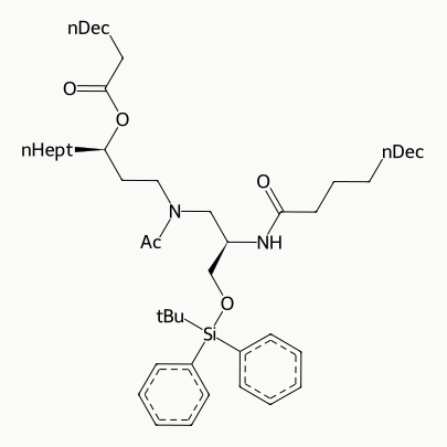 CCCCCCCCCCCCCC(=O)N[C@@H](CO[Si](c1ccccc1)(c1ccccc1)C(C)(C)C)CN(CC[C@@H](CCCCCCC)OC(=O)CCCCCCCCCCC)C(C)=O